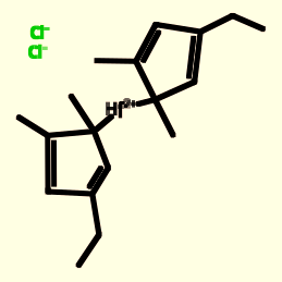 CCC1=C[C](C)([Hf+2][C]2(C)C=C(CC)C=C2C)C(C)=C1.[Cl-].[Cl-]